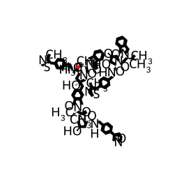 Cc1ncsc1-c1ccc(CNC(=O)[C@@H]2[C@@H](O)[C@@H](Oc3ccc4c(c3)C(=O)N([C@H](C(=O)N3C[C@@](O)(Cc5ccc6c(c5)CN([C@H](C(=O)N5C[C@H](O)C[C@H]5C(=O)NCc5ccc(-c7cnoc7)cc5)C(C)C)C6=O)C[C@H]3C(=O)NCc3ccc(-c5scnc5C)cc3)C(C)C)C4)CN2C(=O)[C@H](C(C)C)N2Cc3ccccc3C2=O)cc1